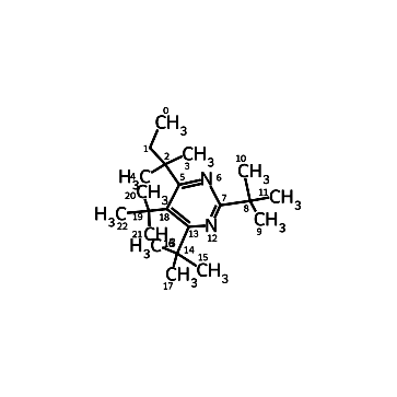 CCC(C)(C)c1nc(C(C)(C)C)nc(C(C)(C)C)c1C(C)(C)C